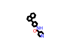 O=C(Nc1ccc(-c2cccc3c2C=CCC3)cc1)c1ccncc1